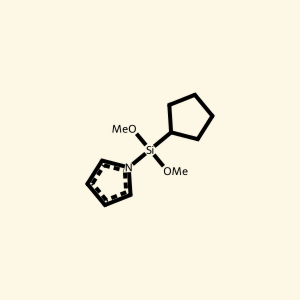 CO[Si](OC)(C1CCCC1)n1cccc1